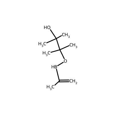 C=C(C)BOC(C)(C)C(C)(C)O